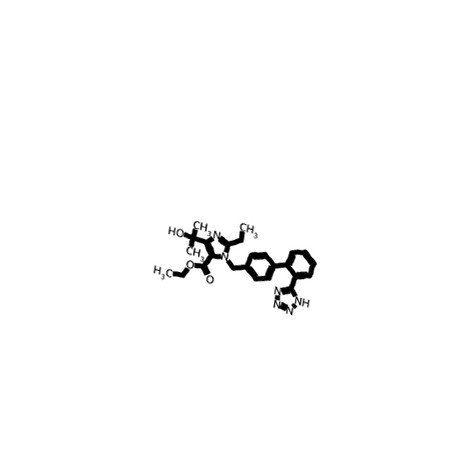 CCOC(=O)c1c(C(C)(C)O)nc(CC)n1Cc1ccc(-c2ccccc2-c2nnn[nH]2)cc1